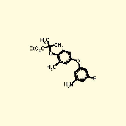 CCOC(=O)C(C)(C)Oc1ccc(Oc2cc(N)cc(F)c2)cc1C